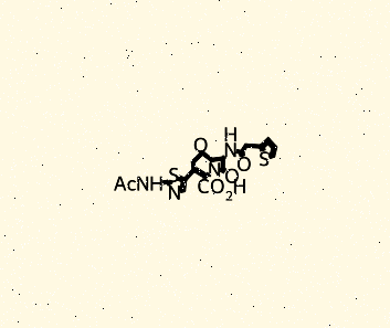 CC(=O)Nc1ncc(C2=C(C(=O)O)N3C(=O)C(NC(=O)Cc4cccs4)C3C(=O)C2)s1